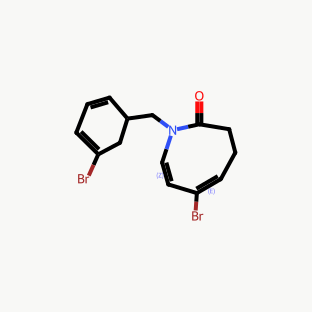 O=C1CC/C=C(Br)\C=C/N1CC1C=CC=C(Br)C1